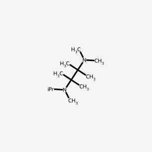 CC(C)N(C)C(C)(C)C(C)(C)N(C)C